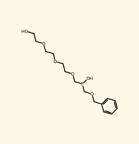 OCCOCCOCCOCP(O)COCc1ccccc1